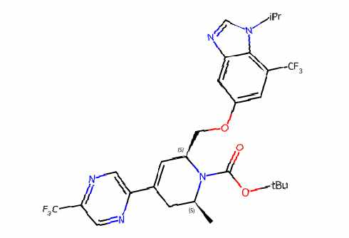 CC(C)n1cnc2cc(OC[C@@H]3C=C(c4cnc(C(F)(F)F)cn4)C[C@H](C)N3C(=O)OC(C)(C)C)cc(C(F)(F)F)c21